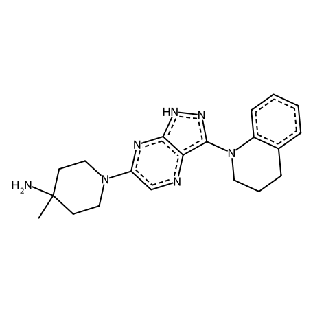 CC1(N)CCN(c2cnc3c(N4CCCc5ccccc54)n[nH]c3n2)CC1